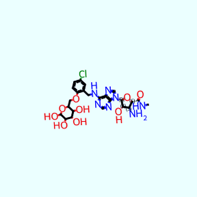 CNC(=O)[C@H]1O[C@@H](n2cnc3c(NCc4cc(Cl)ccc4OCC4OC(O)C(O)C(O)C4O)ncnc32)[C@H](O)[C@@H]1N